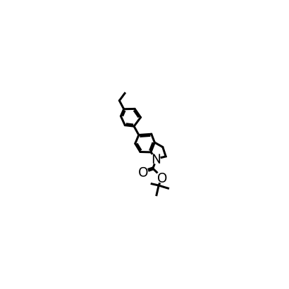 CCc1ccc(-c2ccc3c(c2)CCN3C(=O)OC(C)(C)C)cc1